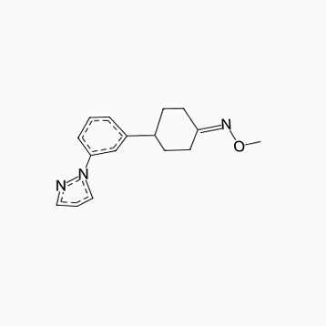 CON=C1CCC(c2cccc(-n3cccn3)c2)CC1